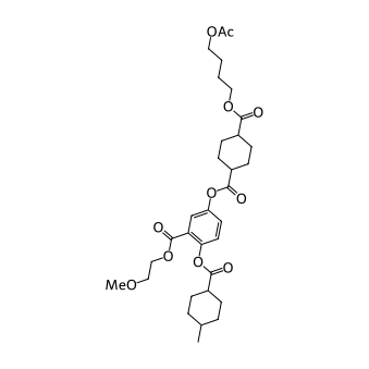 COCCOC(=O)c1cc(OC(=O)C2CCC(C(=O)OCCCCOC(C)=O)CC2)ccc1OC(=O)C1CCC(C)CC1